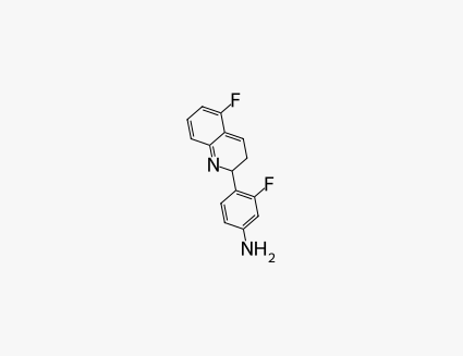 Nc1ccc(C2CC=c3c(F)cccc3=N2)c(F)c1